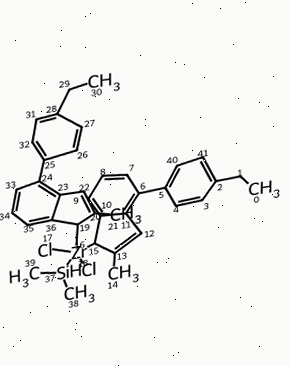 CCc1ccc(-c2cccc3c2C=C(C)[CH]3[Zr]([Cl])([Cl])([CH]2C(C)=Cc3c(-c4ccc(CC)cc4)cccc32)[SiH](C)C)cc1